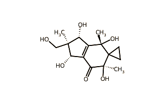 C[C@]1(CO)[C@H](O)C2=C(C(=O)[C@](C)(O)C3(CC3)[C@@]2(C)O)[C@@H]1O